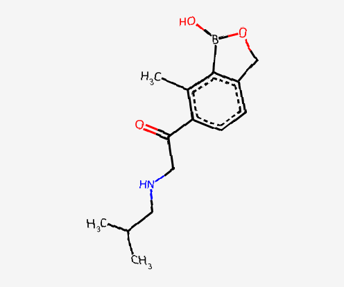 Cc1c(C(=O)CNCC(C)C)ccc2c1B(O)OC2